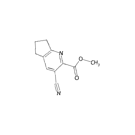 COC(=O)c1nc2c(cc1C#N)CCC2